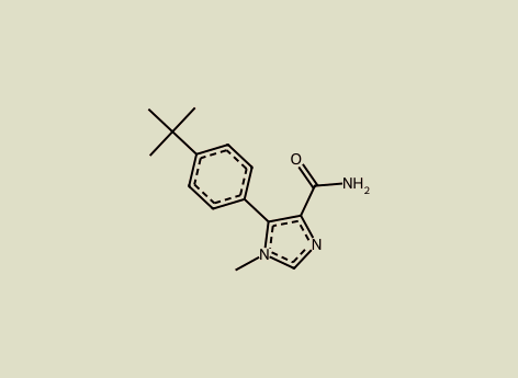 Cn1cnc(C(N)=O)c1-c1ccc(C(C)(C)C)cc1